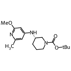 COc1cc(N[C@H]2CCCN(C(=O)OC(C)(C)C)C2)cc(C)n1